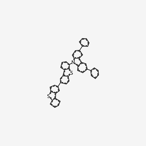 c1ccc(-c2ccc3c(c2)c2cc(-c4ccccc4)ccc2n3-c2cccc3c2sc2ccc(-c4ccc5sc6ccccc6c5c4)cc23)cc1